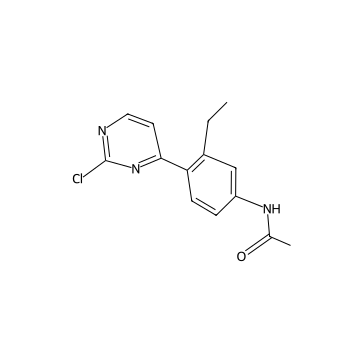 CCc1cc(NC(C)=O)ccc1-c1ccnc(Cl)n1